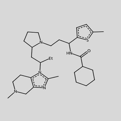 CCC(CC1CCCN1CCC(NC(=O)C1CCCCC1)c1ccc(C)s1)n1c(C)nc2c1CCN(C)C2